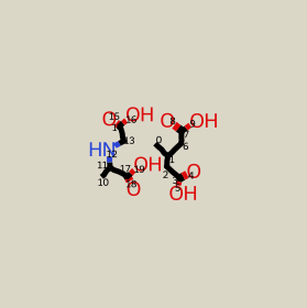 CC(CC(=O)O)CC(=O)O.CC(NCC(=O)O)C(=O)O